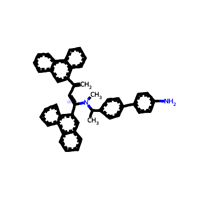 C=C(/C=C(/c1cc2ccccc2c2ccccc12)N(C)C(C)c1ccc(-c2ccc(N)cc2)cc1)c1cc2ccccc2c2ccccc12